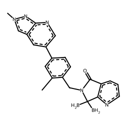 BC1(B)c2ncccc2C(=O)N1Cc1ccc(-c2cnc3nn(C)cc3c2)cc1C